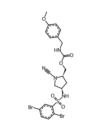 COc1ccc(CNC(=O)OC[C@H]2C[C@@H](NS(=O)(=O)c3cc(Br)ccc3Br)CN2C#N)cc1